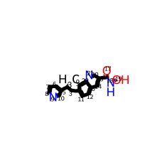 Cc1c(CCc2cccnc2)ccc2cc(C(=O)NO)cnc12